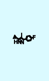 Fc1ccc(-c2n[nH]c(C3CC3)c2I)cc1